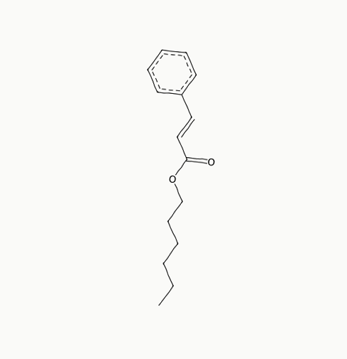 CCCCCCOC(=O)C=Cc1ccccc1